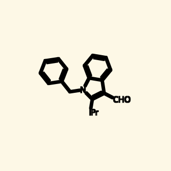 CC(C)c1c(C=O)c2ccccc2n1Cc1ccccc1